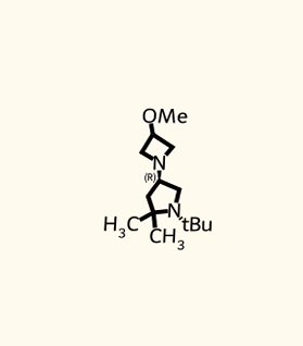 COC1CN([C@H]2CN(C(C)(C)C)C(C)(C)C2)C1